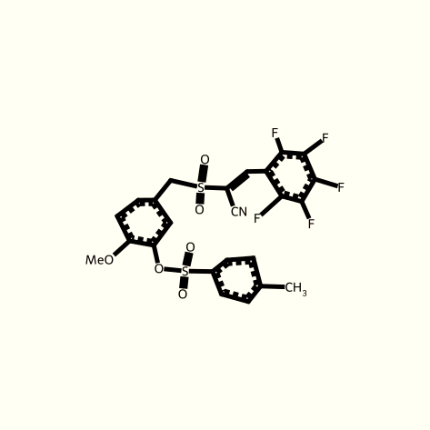 COc1ccc(CS(=O)(=O)/C(C#N)=C/c2c(F)c(F)c(F)c(F)c2F)cc1OS(=O)(=O)c1ccc(C)cc1